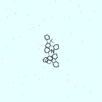 CC1(C)c2ccccc2-c2cccc(-c3ccccc3N(c3ccc4c(c3)C3(CC5CCC3C5)c3ccccc3-4)c3ccccc3-c3cccc4ccccc34)c21